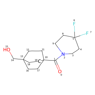 O=C(N1CCC(F)(F)CC1)C12CCC(CO)(CC1)CC2